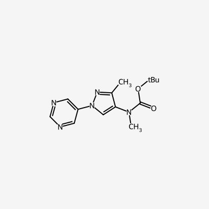 Cc1nn(-c2cncnc2)cc1N(C)C(=O)OC(C)(C)C